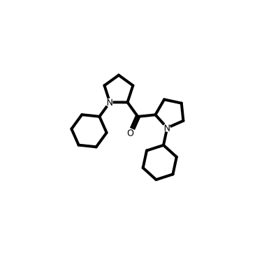 O=C(C1CCCN1C1CCCCC1)C1CCCN1C1CCCCC1